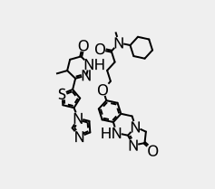 CC1CC(=O)NN=C1c1cc(-n2ccnc2)cs1.CN(C(=O)CCCOc1ccc2c(c1)CN1CC(=O)N=C1N2)C1CCCCC1